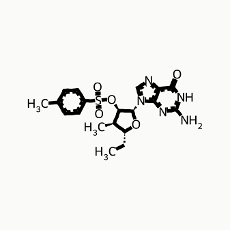 CC[C@H]1O[C@@H](n2cnc3c(=O)[nH]c(N)nc32)[C@H](OS(=O)(=O)c2ccc(C)cc2)[C@@H]1C